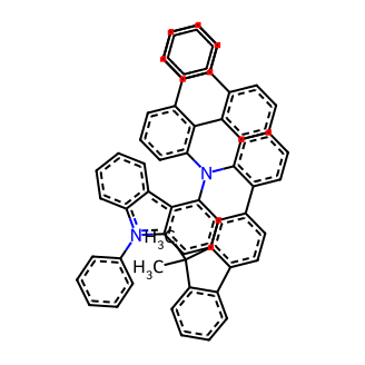 CC1(C)c2ccccc2-c2ccc(-c3ccccc3N(c3cccc(-c4ccccc4)c3-c3ccccc3-c3ccccc3)c3cccc4c3c3ccccc3n4-c3ccccc3)cc21